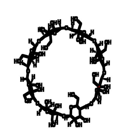 OCC1O[C@@H]2O[C@@H]3C(CO)O[C@H](O[C@@H]4C(CO)O[C@H](O[C@@H]5C(CO)O[C@H](O[C@@H]6C(CO)O[C@H](O[C@@H]7C(CO)O[C@H](O[C@@H]8C(CO)O[C@H](O[C@@H]9C(CO)O[C@H](O[C@H]1C(O)[C@@H]2O)C(O)[C@H]9O)C(O)[C@H]8O)C(O)[C@H]7O)C(O)[C@H]6O)[C@@H](O)C5O)[C@@H](O)C4O)[C@@H](O)C3O